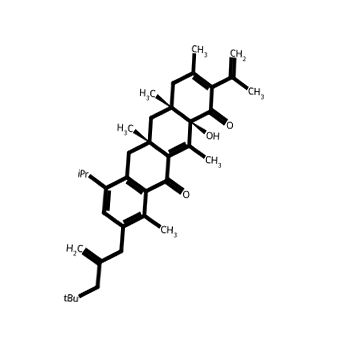 C=C(Cc1cc(C(C)C)c2c(c1C)C(=O)C1=C(C)[C@@]3(O)C(=O)C(C(=C)C)=C(C)C[C@@]3(C)C[C@@]1(C)C2)CC(C)(C)C